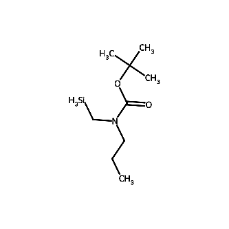 CCCN(C[SiH3])C(=O)OC(C)(C)C